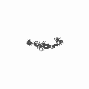 Cc1cc(OCCN2C[C@H]3COC[C@H]3C2)cc(C)c1-c1ccc(CC(=O)NCc2ccccc2)nc1